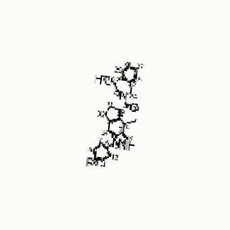 C[C@H]1C2=CNN(c3ccc(F)cc3)C2=CC2=C1[C@@H](C(=O)N(CCO)Cc1ccccc1)CC2